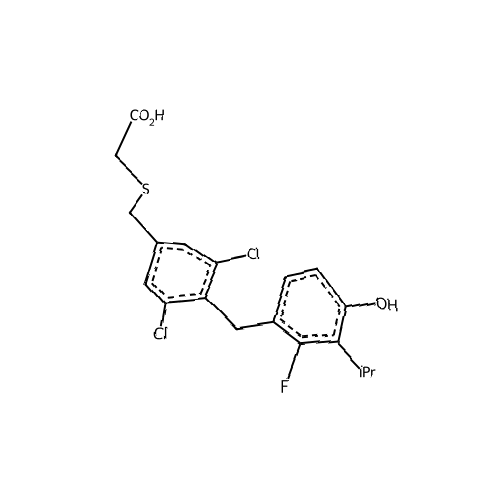 CC(C)c1c(O)ccc(Cc2c(Cl)cc(CSCC(=O)O)cc2Cl)c1F